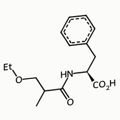 CCOCC(C)C(=O)N[C@@H](Cc1ccccc1)C(=O)O